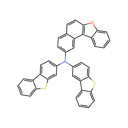 c1ccc2c(c1)oc1ccc3ccc(N(c4ccc5c(c4)sc4ccccc45)c4ccc5sc6ccccc6c5c4)cc3c12